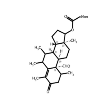 CCCCCCCCCC(=O)OC1CC[C@H]2[C@@H]3C(C)C(C)C4=C(C)C(=O)CC(C)[C@]4(C=O)[C@@H]3CC[C@]12C